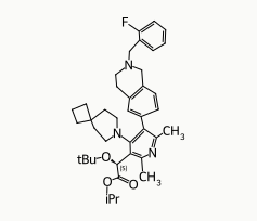 Cc1nc(C)c([C@H](OC(C)(C)C)C(=O)OC(C)C)c(N2CCC3(CCC3)CC2)c1-c1ccc2c(c1)CCN(Cc1ccccc1F)C2